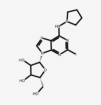 OC[C@H]1O[C@@H](n2cnc3c(NN4CCCC4)nc(I)nc32)C(O)C1O